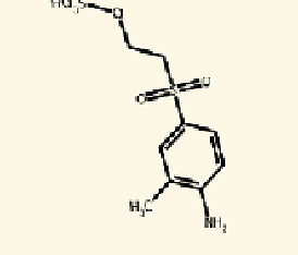 Cc1cc(S(=O)(=O)CCOS(=O)(=O)O)ccc1N